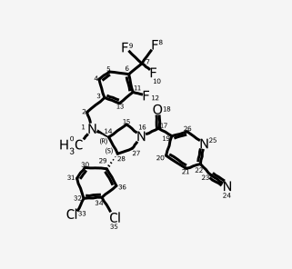 CN(Cc1ccc(C(F)(F)F)c(F)c1)[C@H]1CN(C(=O)c2ccc(C#N)nc2)C[C@@H]1c1ccc(Cl)c(Cl)c1